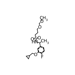 COCOCCCS(=O)(=O)NC(C)c1ccc(F)c(OCC2CC2)c1